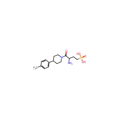 NC(CCP(=O)(O)O)C(=O)N1CCC(c2ccc(C(F)(F)F)cc2)CC1